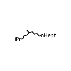 CCCCCCCCCCCC(C)CCCC(C)C